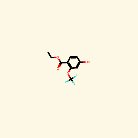 CCOC(=O)c1ccc(O)cc1OC(F)(F)F